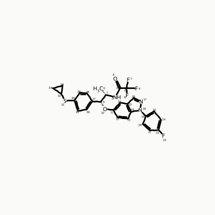 C[C@H](NC(=O)C(F)(F)F)[C@H](Oc1ccc2c(cnn2-c2ccc(F)cc2)c1)c1ccc(SC2CC2)cc1